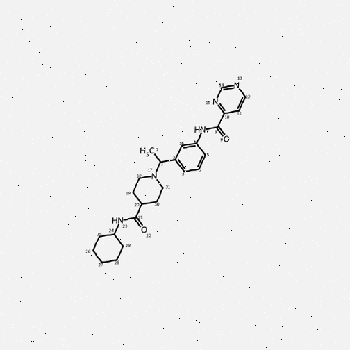 CC(c1cccc(NC(=O)c2ccncn2)c1)N1CCC(C(=O)NC2CCCCC2)CC1